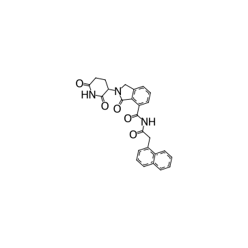 O=C(Cc1cccc2ccccc12)NC(=O)c1cccc2c1C(=O)N(C1CCC(=O)NC1=O)C2